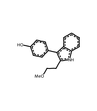 COCCc1[nH]c2ccccc2c1-c1ccc(O)cc1